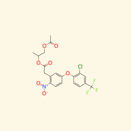 CC(=O)OCC(C)OC(=O)Cc1cc(Oc2ccc(C(F)(F)F)cc2Cl)ccc1[N+](=O)[O-]